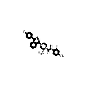 C[C@H]1CN(c2nnc(-c3ccc(F)cc3)c3ccccc23)CCN1C(=O)Nc1ccc(C#N)cc1F